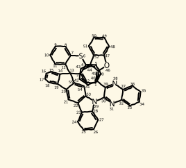 c1ccc2c(c1)Sc1ccccc1C21c2ccccc2-c2cc3c4ccccc4n(-c4nc5ccccc5nc4-c4cccc5c4oc4ccccc45)c3cc21